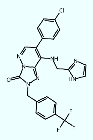 O=c1n(Cc2ccc(C(F)(F)F)cc2)nc2c(NCc3ncc[nH]3)c(-c3ccc(Cl)cc3)cnn12